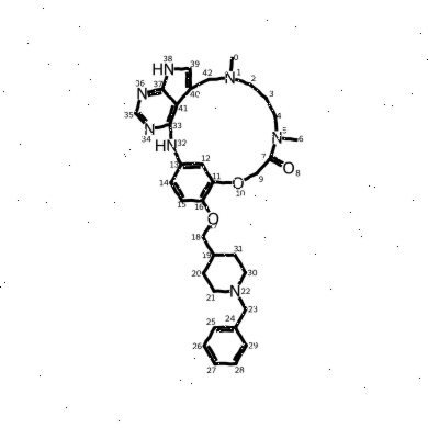 CN1CCCN(C)C(=O)COc2cc(ccc2OCC2CCN(Cc3ccccc3)CC2)Nc2ncnc3[nH]cc(c23)C1